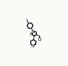 O=Cc1cn(-c2ccc(I)cc2)nc1-c1ccncc1